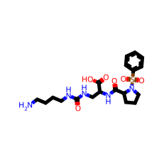 NCCCCNC(=O)NCC(NC(=O)C1CCCN1S(=O)(=O)c1ccccc1)C(=O)O